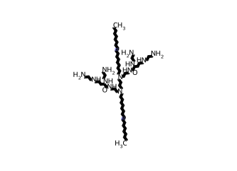 CCCCCCCC/C=C/CCCCCCCCN(CCCCN(CCCCCCCC/C=C/CCCCCCCC)CCCNC(=O)C(CCCNCCCN)NCCCN)CCCNC(=O)C(CCCNCCCN)NCCCN